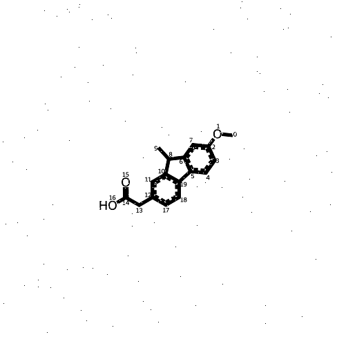 COc1ccc2c(c1)C(C)c1cc(CC(=O)O)ccc1-2